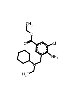 CCOC(=O)c1cc(Cl)c(N)c(CN(CC)C2CCCCC2)c1